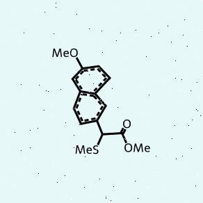 COC(=O)C(SC)c1ccc2cc(OC)ccc2c1